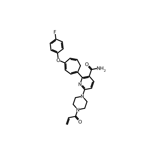 C=CC(=O)N1CCN(c2ccc(C(N)=O)c(C3=CC=C(Oc4ccc(F)cc4)C=CC3)n2)CC1